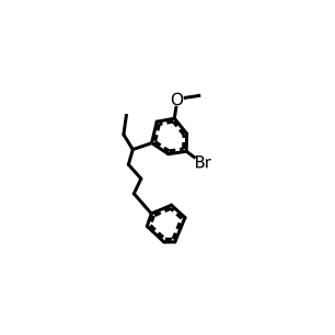 CCC(CCCc1ccccc1)c1cc(Br)cc(OC)c1